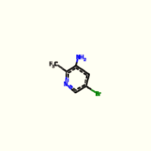 Nc1cc(Br)cnc1C(F)(F)F